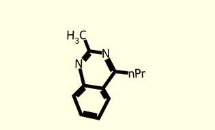 CCCc1nc(C)nc2ccccc12